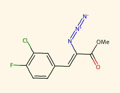 COC(=O)/C(=C/c1ccc(F)c(Cl)c1)N=[N+]=[N-]